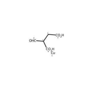 O=CC(CC(=O)O)C(=O)O.[Cu]